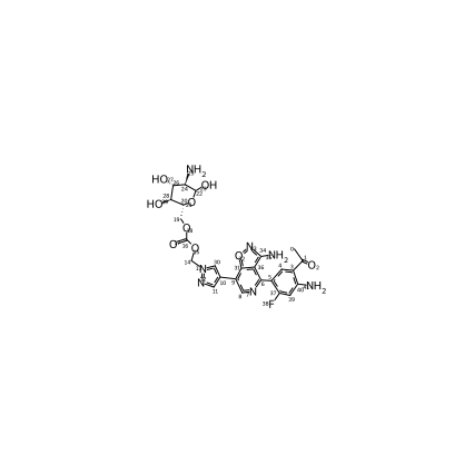 CC(=O)c1cc(-c2ncc(-c3cnn(COC(=O)OC[C@H]4OC(O)[C@H](N)[C@@H](O)[C@@H]4O)c3)c3onc(N)c23)c(F)cc1N